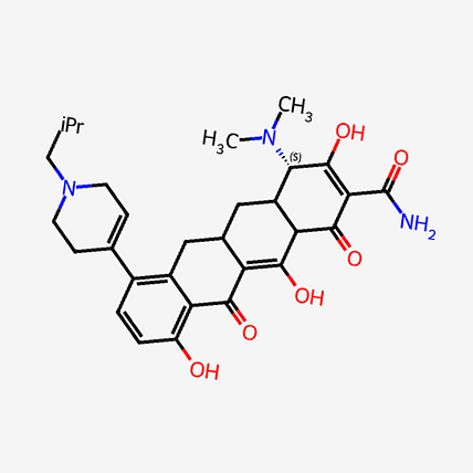 CC(C)CN1CC=C(c2ccc(O)c3c2CC2CC4C(C(=O)C(C(N)=O)=C(O)[C@H]4N(C)C)C(O)=C2C3=O)CC1